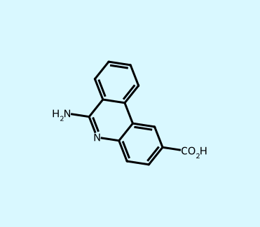 Nc1nc2ccc(C(=O)O)cc2c2ccccc12